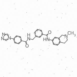 CN1CCc2ccc(NC(=O)c3cccc(CNC(=O)c4ccc(-n5cnnc5)cc4)c3)cc2C1